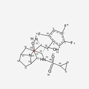 N[C@H](Cc1cc(F)c(F)cc1F)C1CC2CCC(C1)N2C(=O)[C@H](CO)NS(=O)(=O)C1CC1